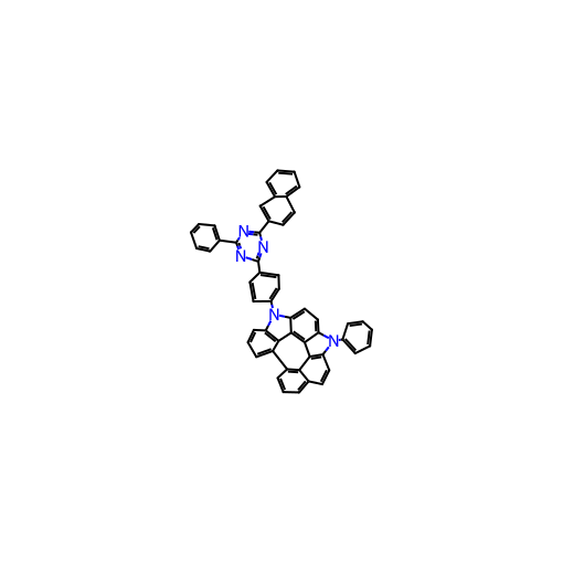 c1ccc(-c2nc(-c3ccc(-n4c5cccc6c5c5c7c8c9c-6cccc9ccc8n(-c6ccccc6)c7ccc54)cc3)nc(-c3ccc4ccccc4c3)n2)cc1